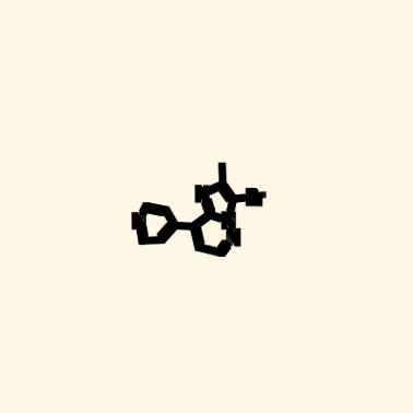 Cc1nc2c(-c3ccncc3)ccnn2c1Br